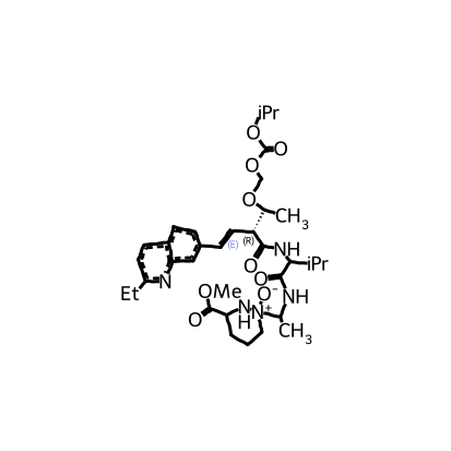 CCc1ccc2ccc(/C=C/[C@@H](C(=O)NC(C(=O)NC(C)[N+]3([O-])CCCC(C(=O)OC)N3)C(C)C)C(C)OCOC(=O)OC(C)C)cc2n1